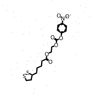 O=C(CCCCC1CCSS1)OCCOC(=O)Oc1ccc([N+](=O)[O-])cc1